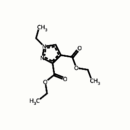 CCOC(=O)c1cn(CC)nc1C(=O)OCC